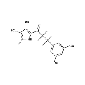 C=C(c1[nH]c(C)c(O)c1O)C(C)(C)C(C)(C)c1cc(C(C)(C)C)cc(C(C)(C)C)c1